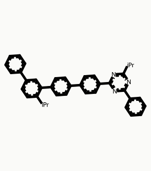 CC(C)c1nc(-c2ccccc2)nc(-c2ccc(-c3ccc(-c4cc(-c5ccccc5)ccc4C(C)C)cc3)cc2)n1